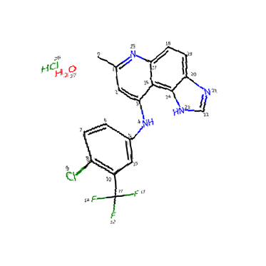 Cc1cc(Nc2ccc(Cl)c(C(F)(F)F)c2)c2c(ccc3nc[nH]c32)n1.Cl.O